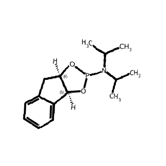 CC(C)N(C(C)C)P1O[C@@H]2Cc3ccccc3[C@@H]2O1